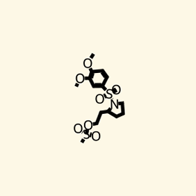 COc1ccc(S(=O)(=O)N2CCCC2CCOS(C)(=O)=O)cc1OC